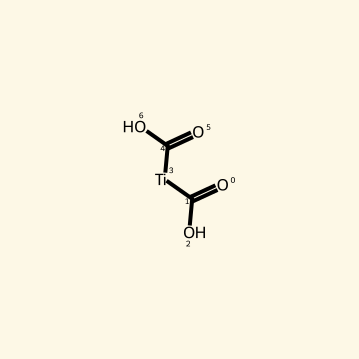 O=[C](O)[Ti][C](=O)O